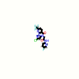 O=C(Cn1c(=O)c2ccc(C(F)(F)F)nc2n2nc(Cl)cc12)Nc1ccc(F)cn1